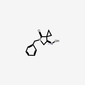 O=C1N(Cc2ccccc2)C/C(=N/O)C12CC2